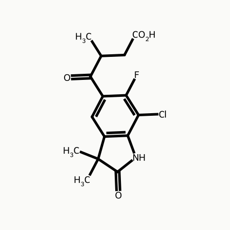 CC(CC(=O)O)C(=O)c1cc2c(c(Cl)c1F)NC(=O)C2(C)C